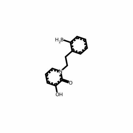 Bc1ccccc1CCn1cccc(O)c1=O